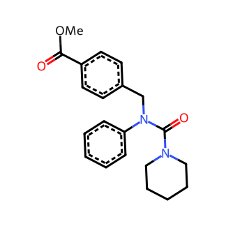 COC(=O)c1ccc(CN(C(=O)N2CCCCC2)c2ccccc2)cc1